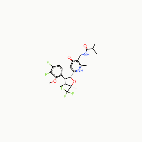 COc1c([C@H]2[C@H](c3cc(=O)c(CNC(=O)C(C)C)c(C)[nH]3)O[C@@](C)(C(F)(F)F)[C@H]2C)ccc(F)c1F